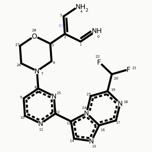 N=C/C(=C\N)C1CN(c2ccnc(-c3cnc4cnc(C(F)F)cn34)n2)CCO1